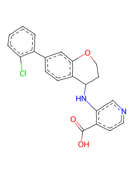 O=C(O)c1ccncc1NC1CCOc2cc(-c3ccccc3Cl)ccc21